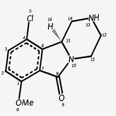 COc1ccc(Cl)c2c1C(=O)N1CCNC[C@H]21